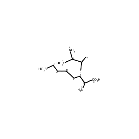 CC(F)C(N)C(=O)O.NC(CCCCCS(=O)(=O)O)C(=O)O